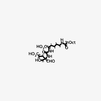 CCCCCCCCC(=O)NCCCC[C@H](NC(=O)N[C@](C=O)(CO)CCC(=O)O)C(=O)O